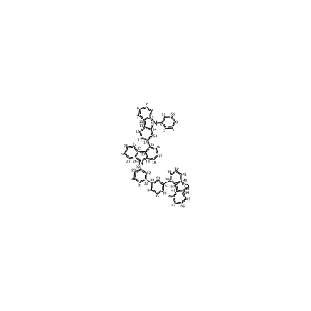 c1ccc(-n2c3ccccc3c3ccc(-c4cccc5c4c4ccccc4n5-c4cccc(-c5cccc(-c6cccc7oc8ccccc8c67)c5)c4)cc32)cc1